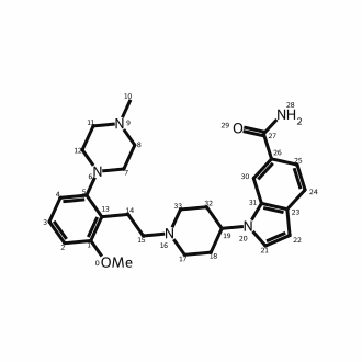 COc1cccc(N2CCN(C)CC2)c1CCN1CCC(n2ccc3ccc(C(N)=O)cc32)CC1